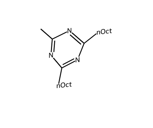 CCCCCCCCc1nc(C)nc(CCCCCCCC)n1